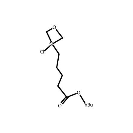 CCCCOC(=O)CCCC[Si]1(Cl)COC1